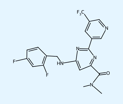 CN(C)C(=O)c1cc(NCc2ccc(F)cc2F)nc(-c2cncc(C(F)(F)F)c2)n1